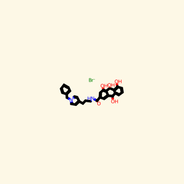 O=C(NCCCc1cc[n+](Cc2ccccc2)cc1)c1cc(O)c2c(c1)C(O)c1cccc(O)c1C2O.[Br-]